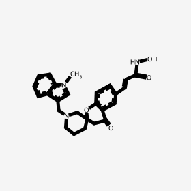 Cn1cc(CN2CCCC3(CC(=O)c4cc(/C=C/C(=O)NO)ccc4O3)C2)c2ccccc21